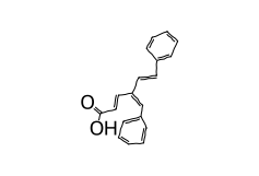 O=C(O)C=CC(C=Cc1ccccc1)=Cc1ccccc1